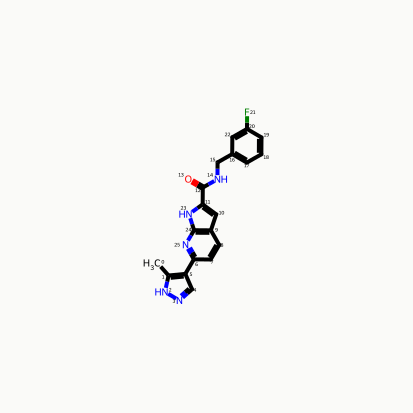 Cc1[nH]ncc1-c1ccc2cc(C(=O)NCc3cccc(F)c3)[nH]c2n1